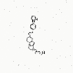 O=C(O)C[C@H]1CCn2c1cc1cc(OCc3ccc(-n4cccn4)cc3)ccc12